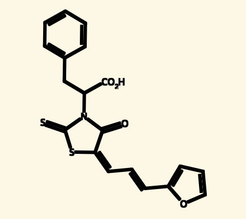 O=C(O)C(Cc1ccccc1)N1C(=O)/C(=C\C=C\c2ccco2)SC1=S